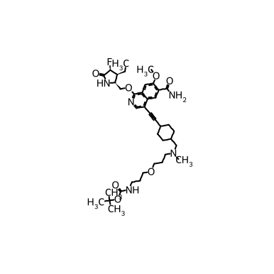 CC[C@@H]1[C@H](F)C(=O)N[C@@H]1COc1ncc(C#CC2CCC(CN(C)CCCOCCCNC(=O)OC(C)(C)C)CC2)c2cc(C(N)=O)c(OC)cc12